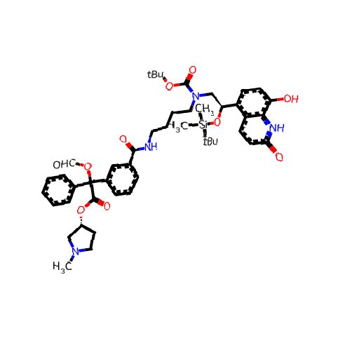 CN1CC[C@@H](OC(=O)C(OC=O)(c2ccccc2)c2cccc(C(=O)NCCCCN(C[C@H](O[Si](C)(C)C(C)(C)C)c3ccc(O)c4[nH]c(=O)ccc34)C(=O)OC(C)(C)C)c2)C1